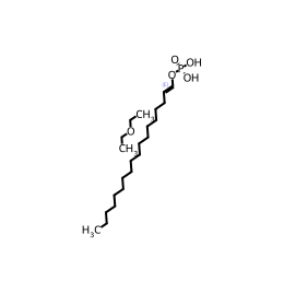 CCCCCCCCCCCCCCCC/C=C/OP(=O)(O)O.CCOCC